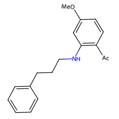 COc1ccc(C(C)=O)c(NCCCc2ccccc2)c1